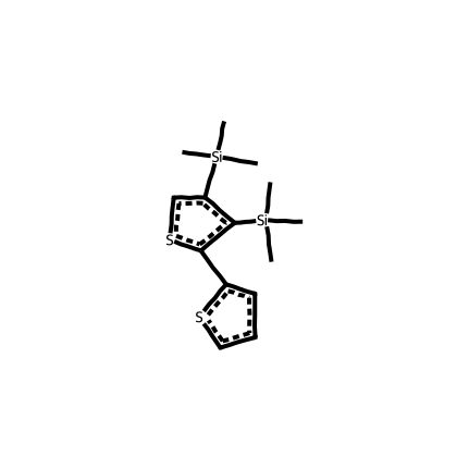 C[Si](C)(C)c1csc(-c2cccs2)c1[Si](C)(C)C